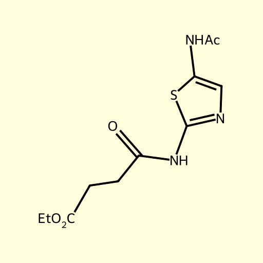 CCOC(=O)CCC(=O)Nc1ncc(NC(C)=O)s1